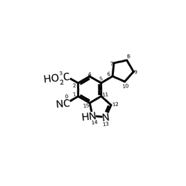 N#Cc1c(C(=O)O)cc(C2CCCC2)c2cn[nH]c12